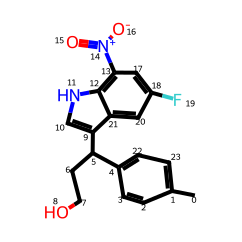 Cc1ccc(C(CCO)c2c[nH]c3c([N+](=O)[O-])cc(F)cc23)cc1